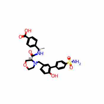 C[C@H](NC(=O)[C@H]1COCCN1Cc1ccc(O)c(-c2ccc(S(N)(=O)=O)cc2)c1)c1ccc(C(=O)O)cc1